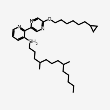 CCCCCC(C)CCCC(C)CCC[SiH2]c1cccnc1-c1cnc(OCCCCCCC2CC2)cn1